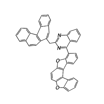 c1ccc2c(c1)ccc1c(Cc3nc(-c4cccc5c4oc4ccc6oc7ccccc7c6c45)c4ccccc4n3)cc3ccccc3c12